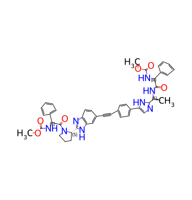 COC(=O)N[C@@H](C(=O)N[C@@H](C)c1ncc(-c2ccc(C#Cc3ccc4nc([C@@H]5CCCN5C(=O)[C@H](NC(=O)OC)c5ccccc5)[nH]c4c3)cc2)[nH]1)c1ccccc1